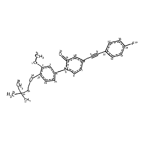 COc1cc(-n2ccc(C#Cc3ccc(F)cc3)cc2=O)ccc1OCC(C)(C)C